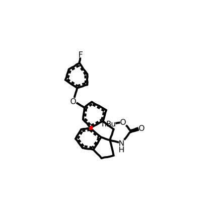 CCCCOC(=O)NC1(Cc2ccc(Oc3ccc(F)cc3)cc2)CCc2ccccc21